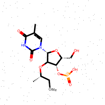 COC[C@H](C)OC1[C@@H](O[PH](=O)O)[C@@H](CO)O[C@H]1n1cc(C)c(=O)[nH]c1=O